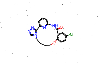 O=C1Nc2cccc(n2)-c2nncn2CCCCOc2ccc(Cl)cc21